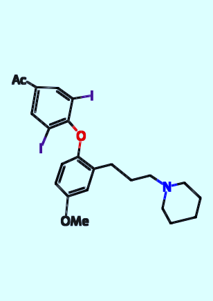 COc1ccc(Oc2c(I)cc(C(C)=O)cc2I)c(CCCN2CCCCC2)c1